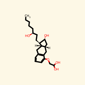 CCCCC[C@H](O)CC[C@@H]1[C@H]2Cc3cccc(OCC(O)O)c3C[C@H]2C[C@H]1O